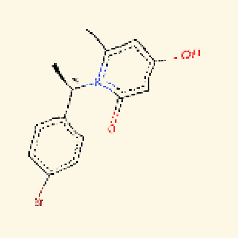 Cc1cc(O)cc(=O)n1[C@H](C)c1ccc(Br)cc1